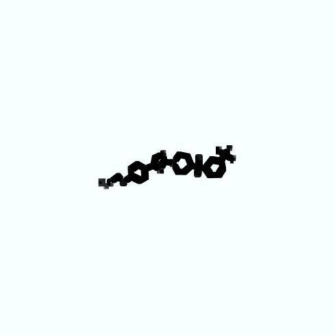 CCOc1ccc(-c2csc(N3CCC(S(=O)(=O)c4cccc(C(F)(F)F)c4)CC3)n2)cc1